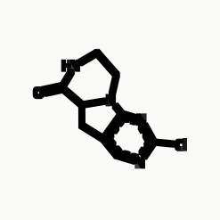 O=C1NCCN2c3nc(Cl)ncc3CC12